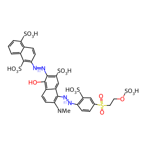 CNc1ccc2c(O)c(/N=N/c3ccc4c(S(=O)(=O)O)cccc4c3S(=O)(=O)O)c(S(=O)(=O)O)cc2c1/N=N/c1ccc(S(=O)(=O)CCOS(=O)(=O)O)cc1S(=O)(=O)O